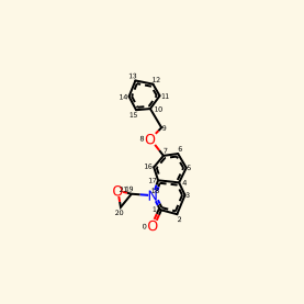 O=c1ccc2ccc(OCc3ccccc3)cc2n1C1CO1